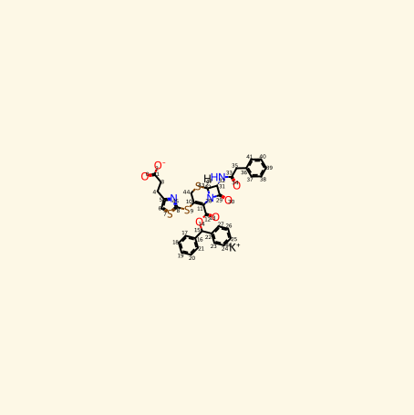 O=C([O-])CCc1csc(SC2=C(C(=O)OC(c3ccccc3)c3ccccc3)N3C(=O)[C@@H](NC(=O)Cc4ccccc4)[C@@H]3SC2)n1.[K+]